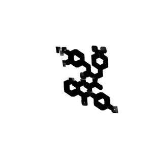 CC(c1nc2ncccc2c(=O)n1-c1ccc(Cl)cc1)N(CC1CCS(=O)(=O)CC1)C(=O)Cc1ccc(C(F)(F)F)c(F)c1